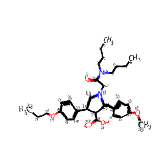 CCCCN(CCCC)C(=O)CN1CC(c2ccc(OCCC)cc2)C(C(=O)O)C1c1ccc(OC)cc1